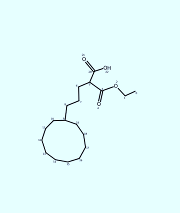 CCOC(=O)C(CCCC1CCCCCCCCCC1)C(=O)O